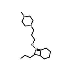 CCCC1C2CCCCC2=[N+]1OCCCN1CCN(C)CC1